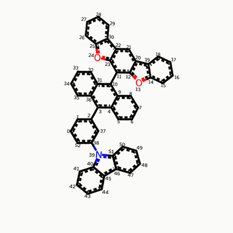 c1cc(-c2c3ccccc3c(-c3c4oc5ccccc5c4cc4c3oc3ccccc34)c3ccccc23)cc(-n2c3ccccc3c3ccccc32)c1